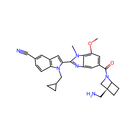 COc1cc(C(=O)N2C[C@@]3(CN)CCC23)cc2nc(-c3cc4cc(C#N)ccc4n3CC3CC3)n(C)c12